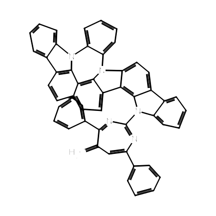 C=C1C=C(c2ccccc2)N=C(n2c3ccccc3c3ccc4c(c5ccc6ccc7c8ccccc8n8c9ccccc9n4c5c6c78)c32)N=C1c1ccccc1